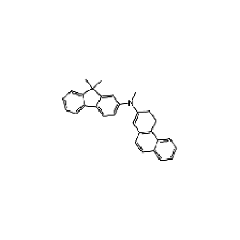 CN(C1=Cc2ccc3ccccc3c2CC1)c1ccc2c(c1)C(C)(C)c1ccccc1-2